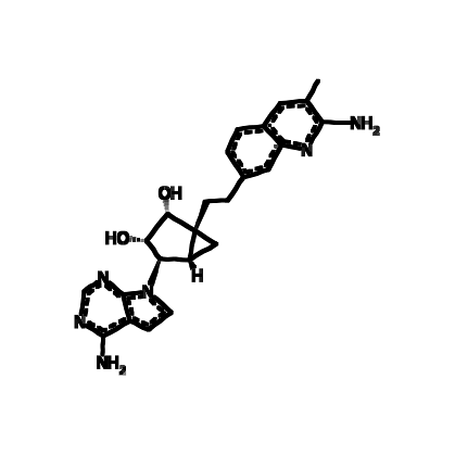 Cc1cc2ccc(CC[C@@]34C[C@@H]3[C@@H](n3ccc5c(N)ncnc53)[C@H](O)[C@@H]4O)cc2nc1N